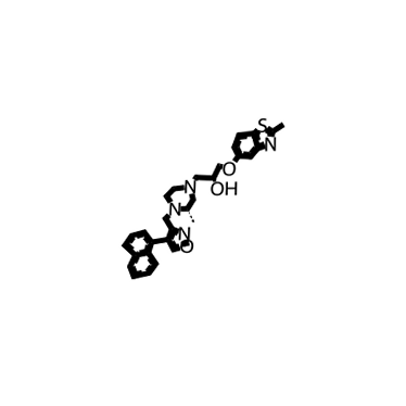 Cc1nc2cc(OC[C@@H](O)CN3CCN(Cc4nocc4-c4cccc5ccccc45)[C@@H](C)C3)ccc2s1